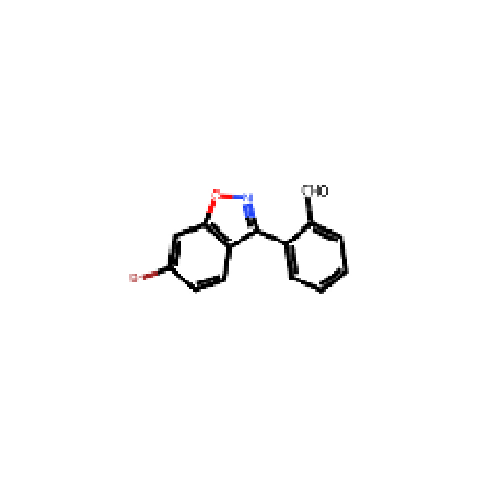 O=Cc1ccccc1-c1noc2cc(Br)ccc12